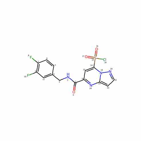 O=C(NCc1ccc(F)c(F)c1)c1cc(S(=O)(=O)Cl)n2nccc2n1